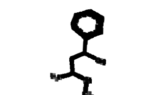 CNC(C)CC(O)c1ccccc1